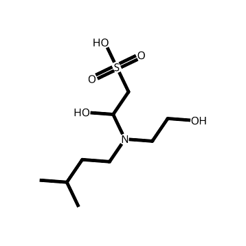 CC(C)CCN(CCO)C(O)CS(=O)(=O)O